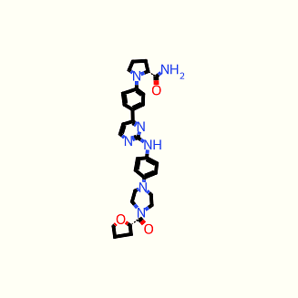 NC(=O)[C@H]1CCCN1c1ccc(-c2ccnc(Nc3ccc(N4CCN(C(=O)[C@@H]5CCCO5)CC4)cc3)n2)cc1